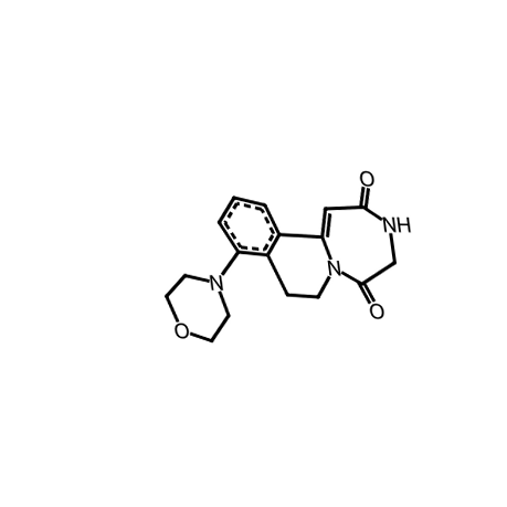 O=C1C=C2c3cccc(N4CCOCC4)c3CCN2C(=O)CN1